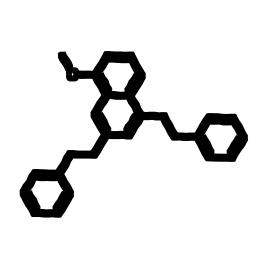 COc1cccc2c(CCc3ccccc3)cc(CCc3ccccc3)cc12